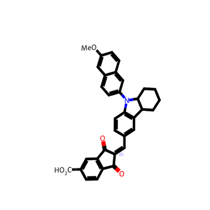 COc1ccc2cc(N3c4ccc(/C=C5/C(=O)c6ccc(C(=O)O)cc6C5=O)cc4C4CCCCC43)ccc2c1